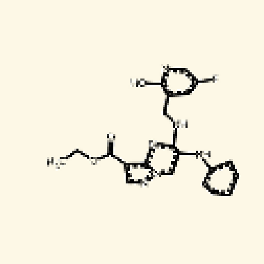 CCOC(=O)c1cnn2cc(Nc3ccccc3)c(NCc3cc(F)cnc3O)nc12